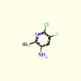 CC(C)(C)c1nc(Cl)c(F)cc1N